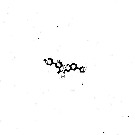 C=C(Nc1cc2cc(C3=CN=CC3)ccc2cn1)c1ccnc(C2=CCN(C)CC2)c1